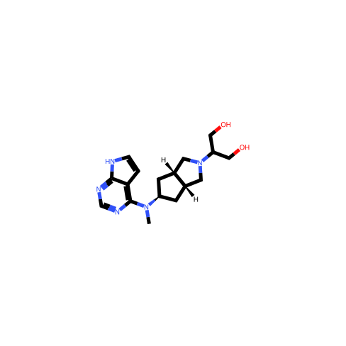 CN(c1ncnc2[nH]ccc12)[C@H]1C[C@@H]2CN(C(CO)CO)C[C@@H]2C1